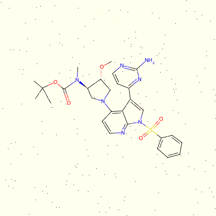 CO[C@@H]1CN(c2ccnc3c2c(-c2ccnc(N)n2)cn3S(=O)(=O)c2ccccc2)C[C@H]1N(C)C(=O)OC(C)(C)C